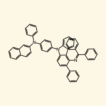 c1ccc(C(=Nc2c(-c3ccccc3)ccc3c2c2ccccc2n3-c2ccc(N(c3ccccc3)c3ccc4ccccc4c3)cc2)c2ccccc2)cc1